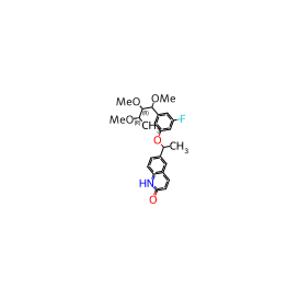 COC(c1cc(F)cc(OC(C)c2ccc3[nH]c(=O)ccc3c2)c1)[C@H](OC)[C@@H](C)OC